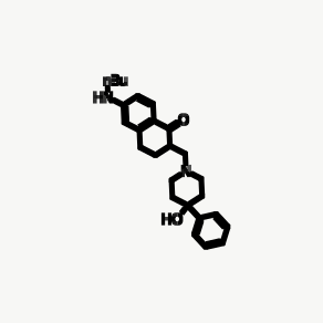 CCCCNc1ccc2c(c1)CCC(CN1CCC(O)(c3ccccc3)CC1)C2=O